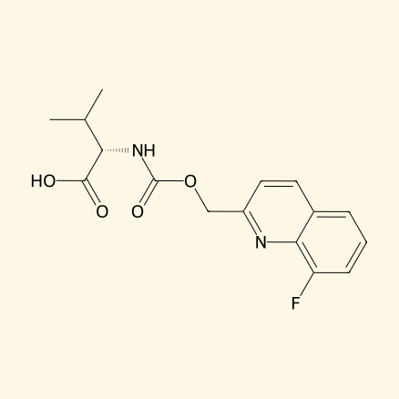 CC(C)[C@H](NC(=O)OCc1ccc2cccc(F)c2n1)C(=O)O